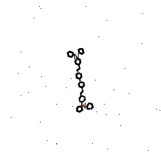 C1=CC(N(c2ccccc2)c2ccccc2)CC=C1/C=C/c1ccc(-c2ccc(/C=C/c3ccc(N(c4ccccc4)c4ccccc4)cc3)cc2)cc1